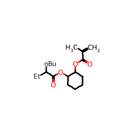 C=C(C)C(=O)OC1CCCCC1OC(=O)C(CC)CCCC